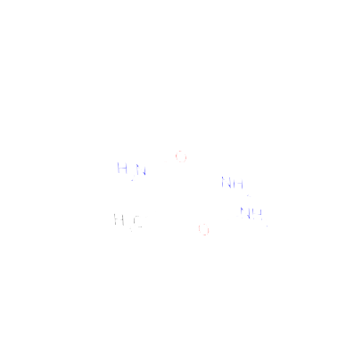 CCON.NON